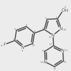 Oc1cc(-c2ccc(F)nc2)n(-c2cnccn2)n1